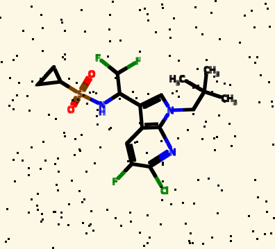 CC(C)(C)Cn1cc(C(NS(=O)(=O)C2CC2)C(F)F)c2cc(F)c(Cl)nc21